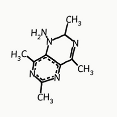 CC1=NC(C)N(N)c2c(C)nc(C)nc21